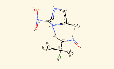 Cc1cnc([N+](=O)[O-])n1CC(N=O)C(C)(C)Cl